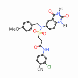 CCn1c(=O)c2cc(N(Cc3ccc(OC)cc3)S(=O)(=O)CCC(=O)Nc3ccc(C#N)c(Cl)c3)ccc2n(CC)c1=O